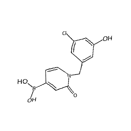 O=c1cc(B(O)O)ccn1Cc1cc(O)cc(Cl)c1